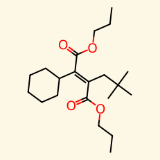 CCCOC(=O)C(CC(C)(C)C)=C(C(=O)OCCC)C1CCCCC1